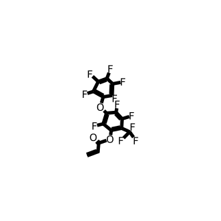 C=CC(=O)Oc1c(F)c(Oc2c(F)c(F)c(F)c(F)c2F)c(F)c(F)c1C(F)(F)F